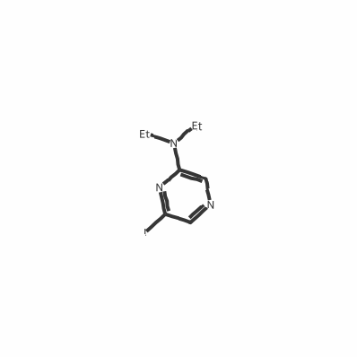 CCN(CC)c1cncc(I)n1